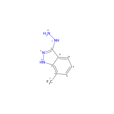 NNc1n[nH]c2c(C(F)(F)F)cccc12